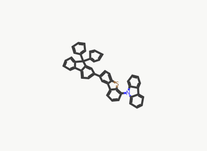 c1ccc(C2(c3ccccc3)c3ccccc3-c3ccc(-c4ccc5sc6c(-n7c8ccccc8c8ccccc87)cccc6c5c4)cc32)cc1